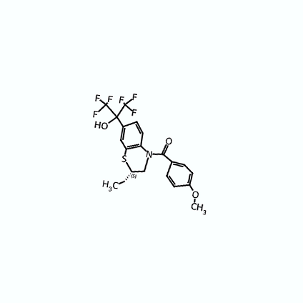 CC[C@H]1CN(C(=O)c2ccc(OC)cc2)c2ccc(C(O)(C(F)(F)F)C(F)(F)F)cc2S1